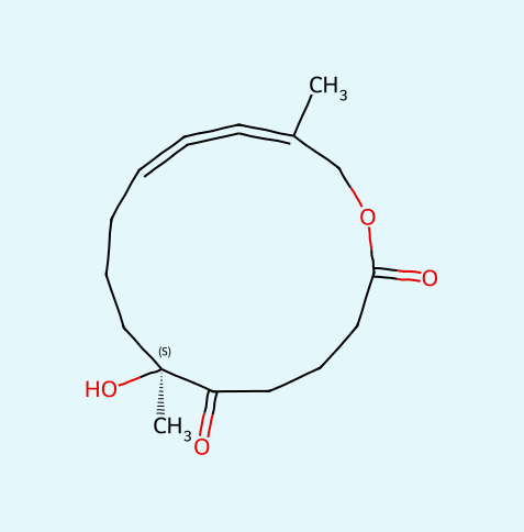 CC1=C=C=CCCC[C@](C)(O)C(=O)CCCC(=O)OC1